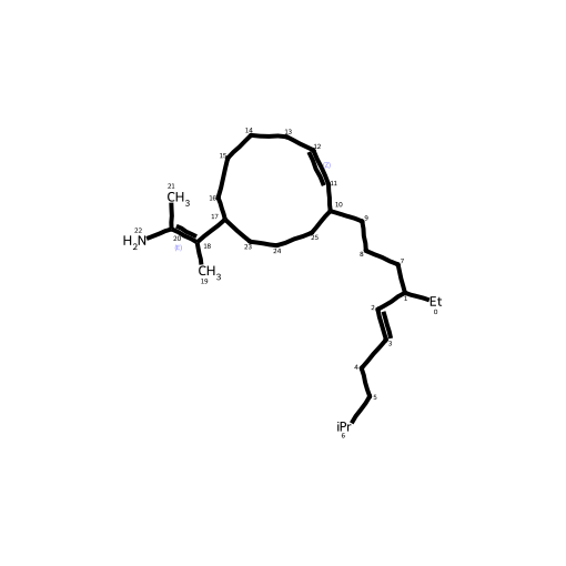 CCC(C=CCCC(C)C)CCCC1/C=C\CCCCC(/C(C)=C(\C)N)CCC1